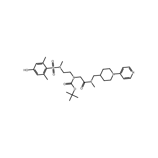 Cc1cc(O)cc(C)c1S(=O)(=O)N(C)CCN(CC(=O)N(C)CC1CCN(c2ccncc2)CC1)C(=O)OC(C)(C)C